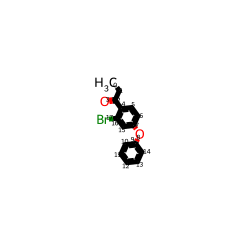 CCC(=O)c1ccc(Oc2ccccc2)cc1Br